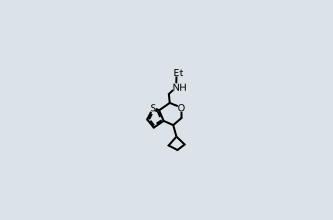 CCNCC1OCC(C2CCC2)c2ccsc21